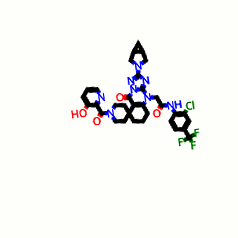 O=C(Cn1c2c(c(=O)n3nc(N4CC5CC5C4)nc13)C1(CCC2)CCN(C(=O)c2ncccc2O)CC1)Nc1ccc(C(F)(F)F)cc1Cl